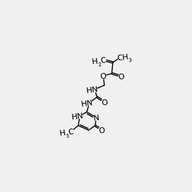 C=C(C)C(=O)OCNC(=O)Nc1nc(=O)cc(C)[nH]1